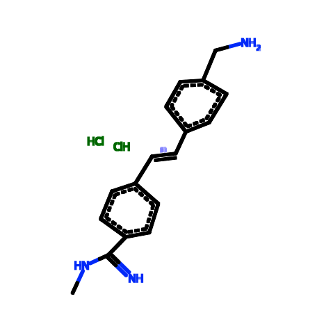 CNC(=N)c1ccc(/C=C/c2ccc(CN)cc2)cc1.Cl.Cl